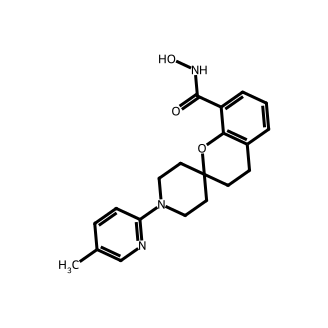 Cc1ccc(N2CCC3(CCc4cccc(C(=O)NO)c4O3)CC2)nc1